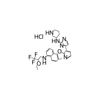 CCOC(CNc1cccc2c(Oc3ncccc3-c3ccnc(N[C@H]4CCCNC4)n3)c(C)ccc12)C(F)(F)F.Cl